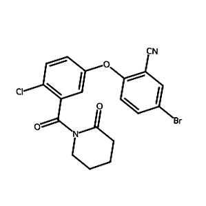 N#Cc1cc(Br)ccc1Oc1ccc(Cl)c(C(=O)N2CCCCC2=O)c1